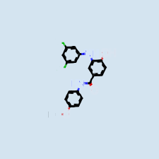 COc1ccc(NC(=O)c2ccc(O)c(Nc3cc(Cl)cc(Cl)c3)c2)cc1